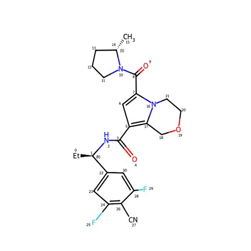 CC[C@@H](NC(=O)c1cc(C(=O)N2CCC[C@@H]2C)n2c1COCC2)c1cc(F)c(C#N)c(F)c1